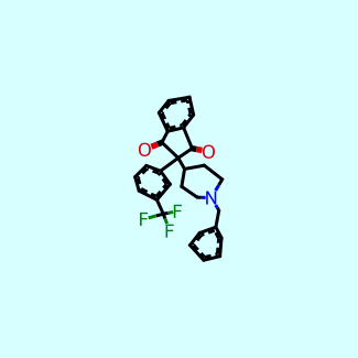 O=C1c2ccccc2C(=O)C1(c1cccc(C(F)(F)F)c1)C1CCN(Cc2ccccc2)CC1